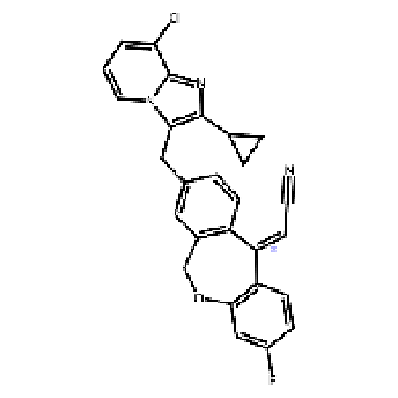 N#C/C=C1\c2ccc(Cc3c(C4CC4)nc4c(Cl)cccn34)cc2COc2cc(F)ccc21